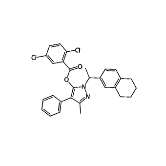 Cc1nn(C(C)c2ccc3c(c2)CCCC3)c(OC(=O)c2cc(Cl)ccc2Cl)c1-c1ccccc1